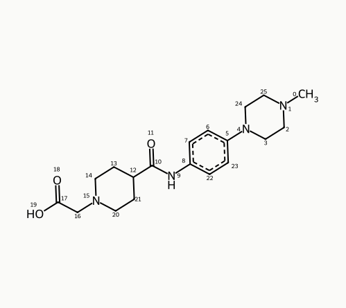 CN1CCN(c2ccc(NC(=O)C3CCN(CC(=O)O)CC3)cc2)CC1